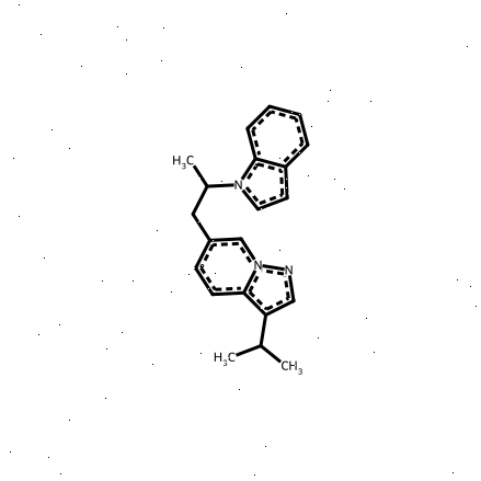 CC(C)c1cnn2cc(CC(C)n3ccc4ccccc43)ccc12